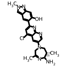 CC1=NC(N)[C@@H](C)CN(c2cnc3nc(-c4cc5cn(C)nc5cc4O)cc(Cl)c3c2)C1